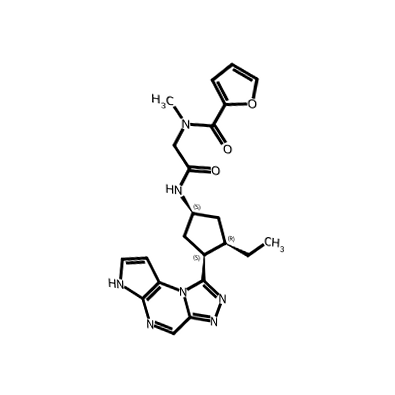 CC[C@@H]1C[C@H](NC(=O)CN(C)C(=O)c2ccco2)C[C@@H]1c1nnc2cnc3[nH]ccc3n12